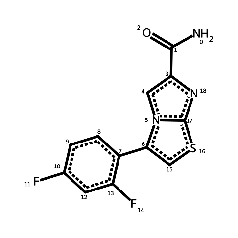 NC(=O)c1cn2c(-c3ccc(F)cc3F)csc2n1